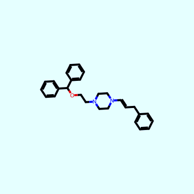 C(=CN1CCN(CCOC(c2ccccc2)c2ccccc2)CC1)Cc1ccccc1